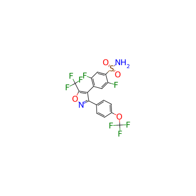 NS(=O)(=O)c1cc(F)c(-c2c(-c3ccc(OC(F)(F)F)cc3)noc2C(F)(F)F)cc1F